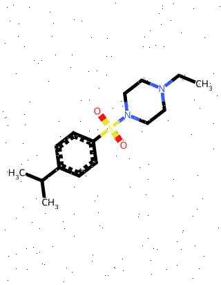 CCN1CCN(S(=O)(=O)c2ccc(C(C)C)cc2)CC1